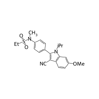 CCS(=O)(=O)N(C)c1ccc(-c2c(C#N)c3ccc(OC)cc3n2C(C)C)cc1